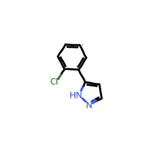 Clc1cc[c]cc1-c1ccn[nH]1